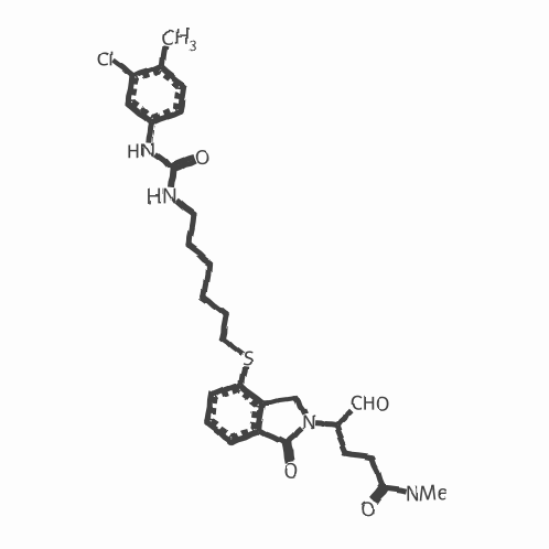 CNC(=O)CCC(C=O)N1Cc2c(SCCCCCCNC(=O)Nc3ccc(C)c(Cl)c3)cccc2C1=O